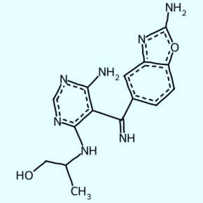 CC(CO)Nc1ncnc(N)c1C(=N)c1ccc2oc(N)nc2c1